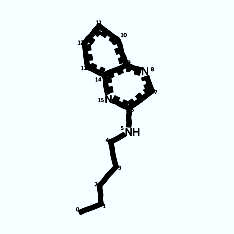 CCCCCNc1cnc2ccccc2n1